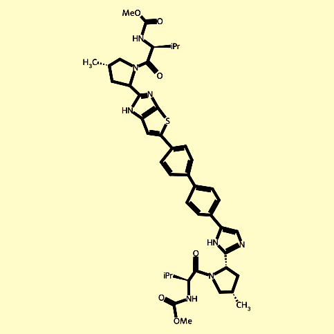 COC(=O)N[C@H](C(=O)N1C[C@@H](C)CC1c1nc2sc(-c3ccc(-c4ccc(-c5cnc([C@@H]6C[C@H](C)CN6C(=O)[C@@H](NC(=O)OC)C(C)C)[nH]5)cc4)cc3)cc2[nH]1)C(C)C